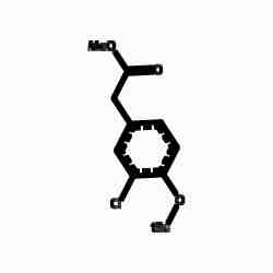 COC(=O)Cc1ccc(OC(C)(C)C)c(Cl)c1